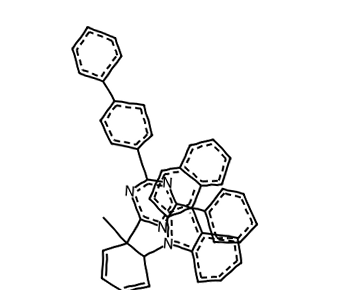 CC1(c2nc(-c3ccccc3)nc(-c3ccc(-c4ccccc4)cc3)n2)C=CC=CC1n1c2ccccc2c2c3ccccc3ccc21